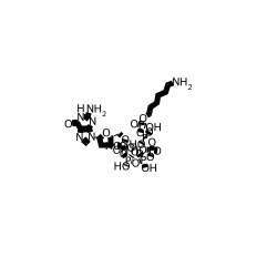 NCCCCCCOP(=O)(O)OP(=O)(O)OP(=O)(O)OP(=O)(O)OP(=O)(O)OP(=O)(O)OC[C@H]1O[C@@H](n2cnc3c(=O)[nH]c(N)nc32)CC1O